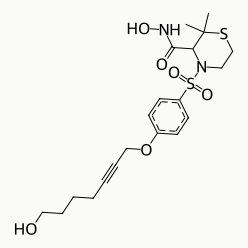 CC1(C)SCCN(S(=O)(=O)c2ccc(OCC#CCCCCO)cc2)C1C(=O)NO